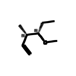 C=C[C@H](C)[C@H](CC)OC